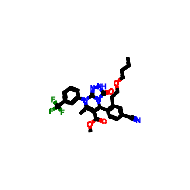 CCCCOCCc1cc(C#N)ccc1C1C(C(=O)OC)=C(C)N(c2cccc(C(F)(F)F)c2)c2n[nH]c(=O)n21